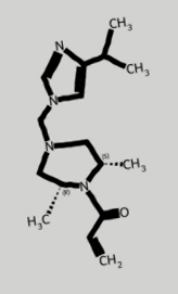 C=CC(=O)N1[C@H](C)CN(Cn2cnc(C(C)C)c2)C[C@@H]1C